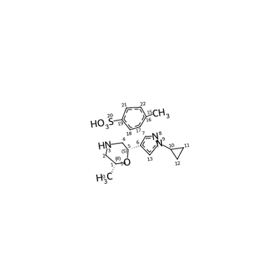 C[C@@H]1CNC[C@H](c2cnn(C3CC3)c2)O1.Cc1ccc(S(=O)(=O)O)cc1